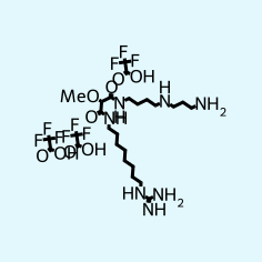 COC(C(=O)NCCCCCCCCNC(=N)N)C(=O)NCCCCNCCCN.O=C(O)C(F)(F)F.O=C(O)C(F)(F)F.O=C(O)C(F)(F)F